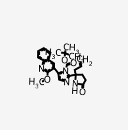 C=CCC1(c2ncc(-c3cc4ccccc4nc3OC)n2C(=O)OC(C)(C)C)CCC(=O)N1